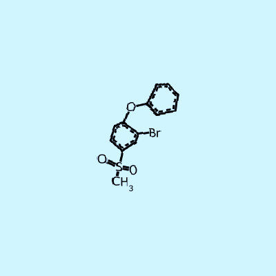 CS(=O)(=O)c1ccc(Oc2ccccc2)c(Br)c1